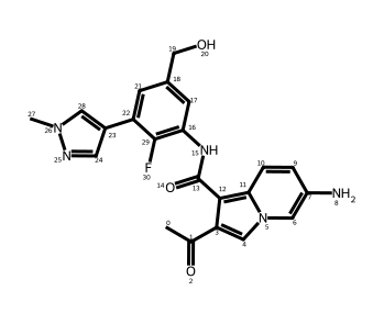 CC(=O)c1cn2cc(N)ccc2c1C(=O)Nc1cc(CO)cc(-c2cnn(C)c2)c1F